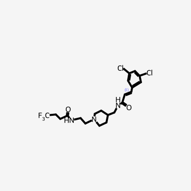 O=C(/C=C/c1cc(Cl)cc(Cl)c1)NCC1CCN(CCNC(=O)CCC(F)(F)F)CC1